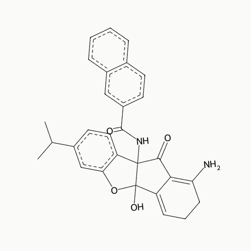 CC(C)c1ccc2c(c1)OC1(O)C3=CCCC(N)=C3C(=O)C21NC(=O)c1ccc2ccccc2c1